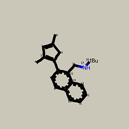 CC1=CC(C)=C(c2ccc3ccccc3c2CNC(C)(C)C)C1